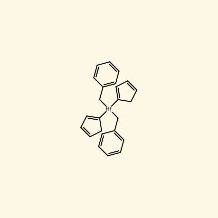 C1=CC[C]([Hf]([CH2]c2ccccc2)([CH2]c2ccccc2)[C]2=CC=CC2)=C1